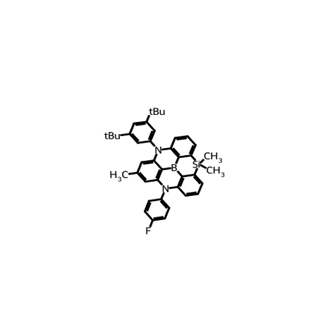 Cc1cc2c3c(c1)N(c1cc(C(C)(C)C)cc(C(C)(C)C)c1)c1cccc4c1B3c1c(cccc1[Si]4(C)C)N2c1ccc(F)cc1